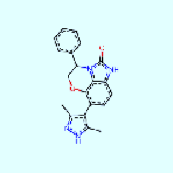 Cc1n[nH]c(C)c1-c1ccc2[nH]c(=O)n3c2c1OCC3c1ccccc1